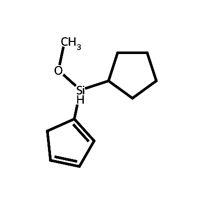 CO[SiH](C1=CC=CC1)C1CCCC1